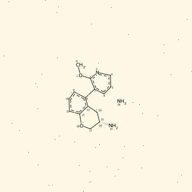 COc1ncccc1-c1cccc2c1C[C@H](N)CO2.N